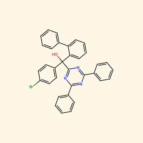 OC(c1ccc(Br)cc1)(c1nc(-c2ccccc2)nc(-c2ccccc2)n1)c1ccccc1-c1ccccc1